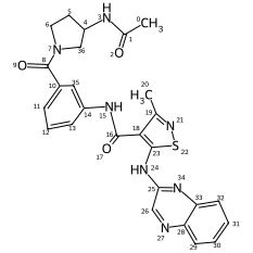 CC(=O)NC1CCN(C(=O)c2cccc(NC(=O)c3c(C)nsc3Nc3cnc4ccccc4n3)c2)C1